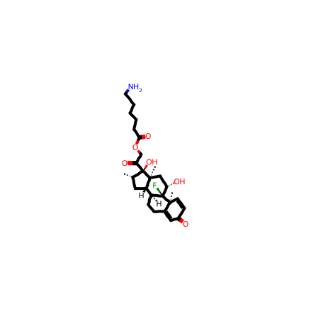 C[C@H]1C[C@H]2[C@@H]3CCC4=CC(=O)C=C[C@]4(C)[C@@]3(F)[C@@H](O)C[C@]2(C)[C@@]1(O)C(=O)COC(=O)CCCCCN